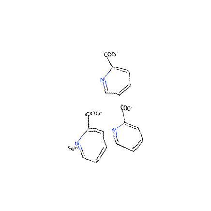 O=C([O-])c1ccccn1.O=C([O-])c1ccccn1.O=C([O-])c1ccccn1.[Fe+3]